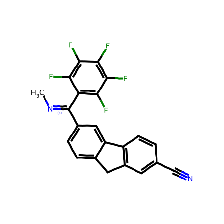 C/N=C(/c1ccc2c(c1)-c1ccc(C#N)cc1C2)c1c(F)c(F)c(F)c(F)c1F